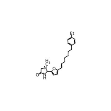 CCc1ccc(CCCCCC=Cc2ccc(C3NC(=O)CN3C)o2)cc1